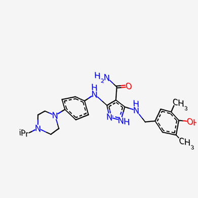 Cc1cc(CNc2[nH]nc(Nc3ccc(N4CCN(C(C)C)CC4)cc3)c2C(N)=O)cc(C)c1O